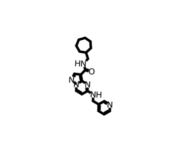 O=C(NCC1CCCCCC1)c1cnn2ccc(NCc3cccnc3)nc12